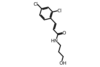 O=C(/C=C/c1ccc(Cl)cc1Cl)NCCCO